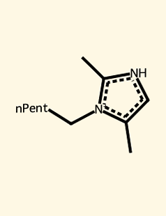 CCCCCC[n+]1c(C)c[nH]c1C